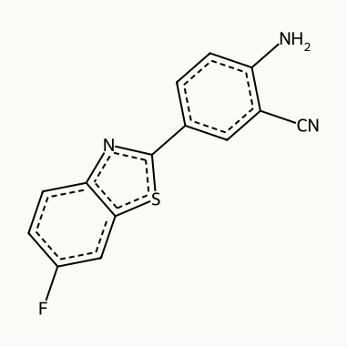 N#Cc1cc(-c2nc3ccc(F)cc3s2)ccc1N